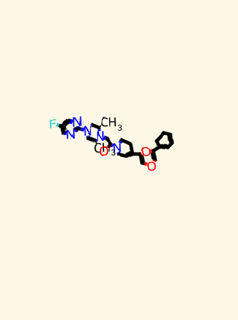 C[C@@H]1CN(c2ncc(F)cn2)C[C@H](C)N1CC(=O)N1CC=C(C2=COC=C(C3=CC=CCC3)O2)CC1